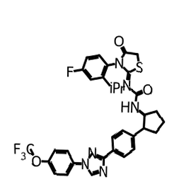 CC(C)c1cc(F)ccc1N1C(=O)CS/C1=N\C(=O)NC1CCCC1c1ccc(-c2ncn(-c3ccc(OC(F)(F)F)cc3)n2)cc1